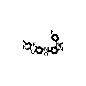 Cc1ccc(Oc2ccc(NC(=O)c3ccc4nc(C)n(-c5ccc(F)cc5)c4c3)cc2F)cn1